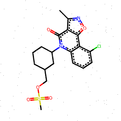 Cc1noc2c1c(=O)n(C1CCCC(COS(C)(=O)=O)C1)c1cccc(Cl)c21